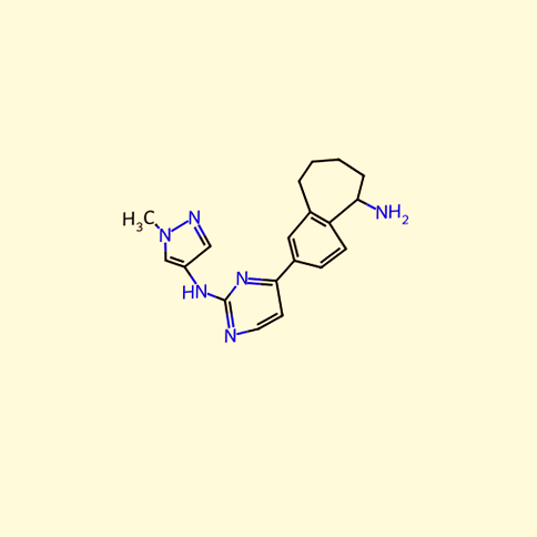 Cn1cc(Nc2nccc(-c3ccc4c(c3)CCCCC4N)n2)cn1